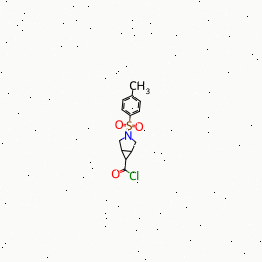 Cc1ccc(S(=O)(=O)N2CC3C(C2)C3C(=O)Cl)cc1